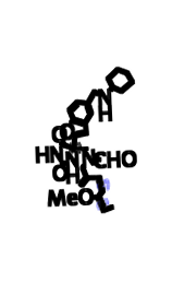 C=C(/C=C\C(=C/C)OC)CN(C=O)C[C@@]1(c2cc3cc(CNC4CCCCC4)ccc3o2)NC(=O)NC1=O